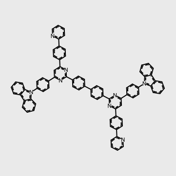 c1ccc(-c2ccc(-c3cc(-c4ccc(-n5c6ccccc6c6ccccc65)cc4)nc(-c4ccc(-c5ccc(-c6nc(-c7ccc(-c8ccccn8)cc7)cc(-c7ccc(-n8c9ccccc9c9ccccc98)cc7)n6)cc5)cc4)n3)cc2)nc1